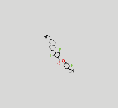 CCCC1CCC2CC(c3c(F)cc(C(=O)Oc4ccc(C#N)c(F)c4)cc3F)CCC2C1